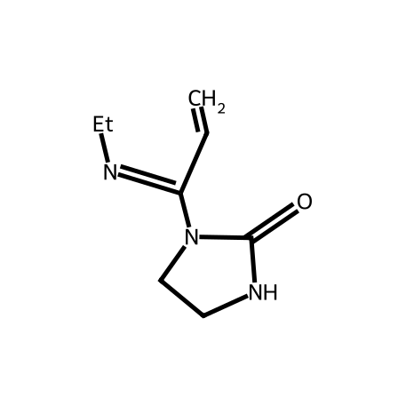 C=C/C(=N\CC)N1CCNC1=O